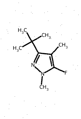 Cc1c(C(C)(C)C)nn(C)c1F